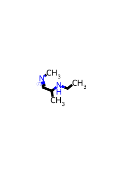 CCNC(C)/C=N\C